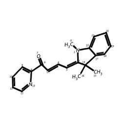 CN1/C(=C\C=C\C(=O)c2ccccn2)C(C)(C)c2ccccc21